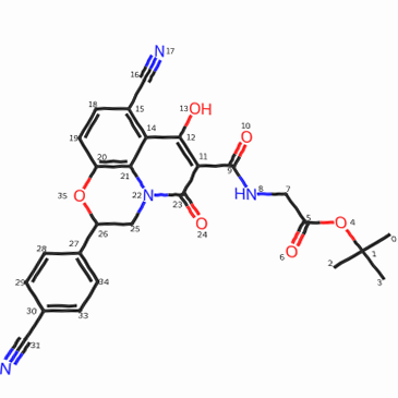 CC(C)(C)OC(=O)CNC(=O)c1c(O)c2c(C#N)ccc3c2n(c1=O)CC(c1ccc(C#N)cc1)O3